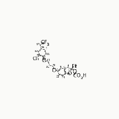 CC[C@]1(OC(=O)O)Cc2cc(OCCCOc3ccc(CC(F)(F)F)cc3Cl)ccc2O1